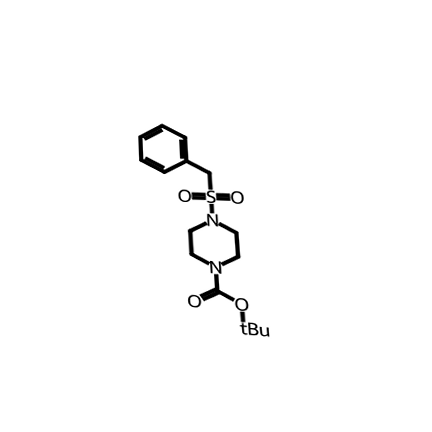 CC(C)(C)OC(=O)N1CCN(S(=O)(=O)Cc2ccccc2)CC1